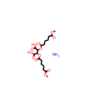 COC(=O)CCCCC(=O)OC(C(=O)O)C(OC(=O)CCCCC(=O)OC)C(=O)O.N